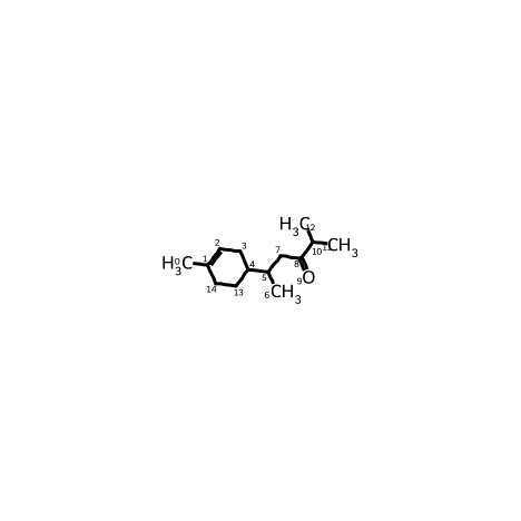 CC1=CCC(C(C)CC(=O)C(C)C)CC1